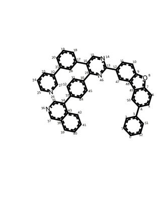 c1ccc(-c2ccc3oc4ccc(-c5ncc(-c6cccc(-c7cccnc7)c6)c(-c6ccc(-c7cncc8ccccc78)cc6)n5)cc4c3c2)cc1